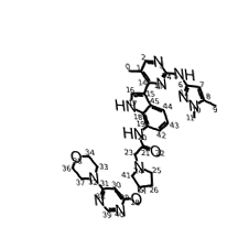 Cc1cnc(Nc2cc(C)n(C)n2)nc1-c1c[nH]c2c(NC(=O)CN3CC[C@H](Oc4cc(N5CCOCC5)ncn4)C3)cccc12